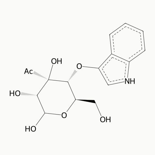 CC(=O)[C@]1(O)[C@H](Oc2c[nH]c3ccccc23)[C@@H](CO)OC(O)[C@@H]1O